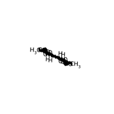 COCc1cccc(S(=O)(=O)NC(=O)NCCCCCCNC(=O)NS(=O)(=O)c2cccc(COC)c2)c1